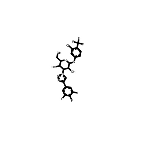 OCC1OC(Sc2ccc(C(F)(F)F)c(Cl)c2)C(O)C(n2cc(-c3cc(F)c(F)c(F)c3)nn2)C1O